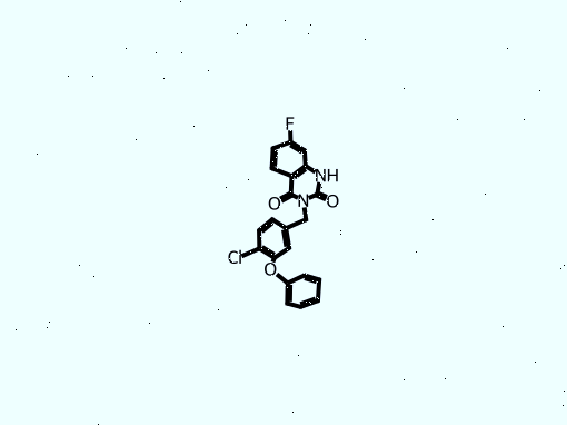 O=c1[nH]c2cc(F)ccc2c(=O)n1Cc1ccc(Cl)c(Oc2ccccc2)c1